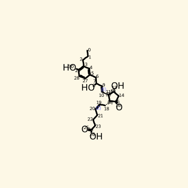 CCCc1cc(CC(O)/C=C/[C@H]2[C@H](O)CC(=O)[C@@H]2C/C=C\CCCC(=O)O)ccc1O